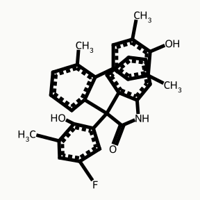 Cc1cc(-c2c(C)cccc2C2(c3cc(F)cc(C)c3O)C(=O)Nc3ccccc32)cc(C)c1O